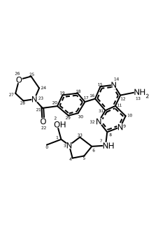 CC(O)N1CCC(Nc2ncc3c(N)ncc(-c4ccc(C(=O)N5CCOCC5)cc4)c3n2)C1